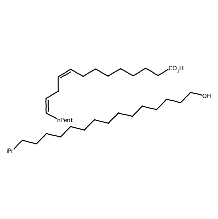 CC(C)CCCCCCCCCCCCCCCO.CCCCC/C=C\C/C=C\CCCCCCCC(=O)O